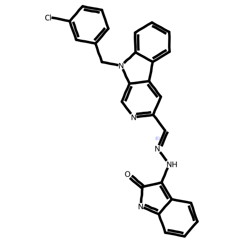 O=C1N=c2ccccc2=C1N/N=C/c1cc2c3ccccc3n(Cc3cccc(Cl)c3)c2cn1